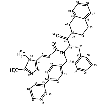 Cc1ncc(C=CC(=O)N(Cc2ccc(-c3cccnn3)cc2)[C@@H](Cc2ccccc2)C(=O)N2CCc3ccccc3C2)n1C